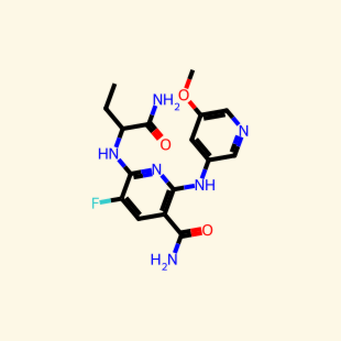 CCC(Nc1nc(Nc2cncc(OC)c2)c(C(N)=O)cc1F)C(N)=O